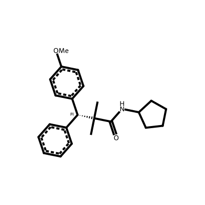 COc1ccc([C@@H](c2ccccc2)C(C)(C)C(=O)NC2CCCC2)cc1